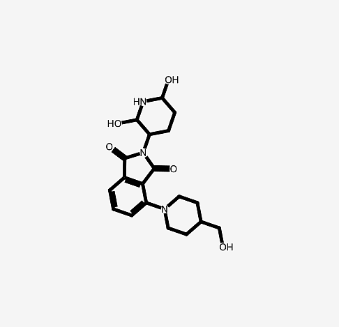 O=C1c2cccc(N3CCC(CO)CC3)c2C(=O)N1C1CCC(O)NC1O